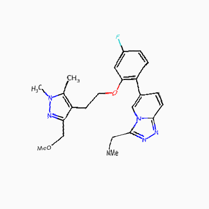 CNCc1nnc2ccc(-c3ccc(F)cc3OCCc3c(COC)nn(C)c3C)cn12